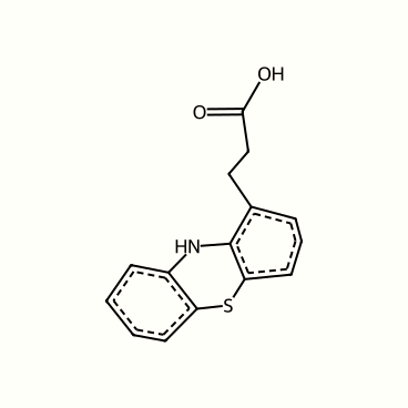 O=C(O)CCc1cccc2c1Nc1ccccc1S2